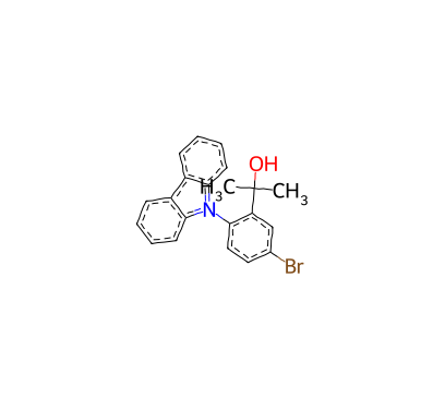 CC(C)(O)c1cc(Br)ccc1-n1c2ccccc2c2ccccc21